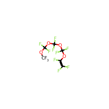 FC(F)=C(F)OC(F)(F)OC(F)(F)OC(F)(F)OC(F)(F)F